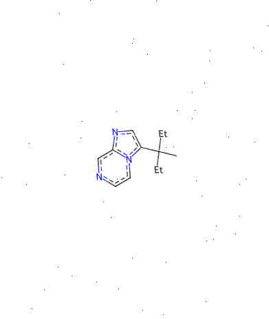 CCC(C)(CC)c1cnc2cnccn12